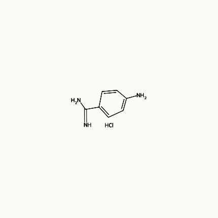 Cl.N=C(N)c1ccc(N)cc1